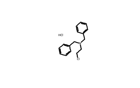 Cl.ClCCN(Cc1ccccc1)Cc1ccccc1